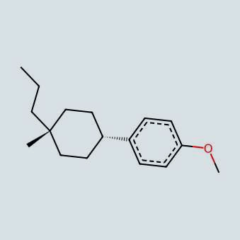 CCC[C@]1(C)CC[C@H](c2ccc(OC)cc2)CC1